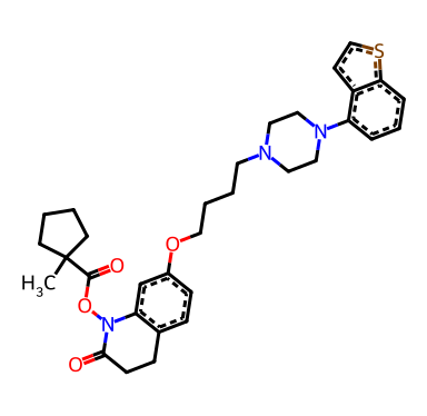 CC1(C(=O)ON2C(=O)CCc3ccc(OCCCCN4CCN(c5cccc6sccc56)CC4)cc32)CCCC1